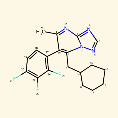 Cc1nc2ncnn2c(CC2CCCCC2)c1-c1ccc(F)c(F)c1F